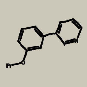 CC(C)Oc1cccc(-c2[c]nccc2)c1